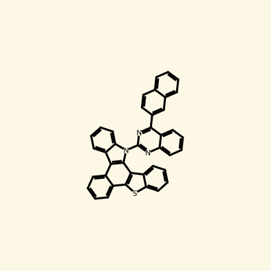 c1ccc2cc(-c3nc(-n4c5ccccc5c5c6ccccc6c6sc7ccccc7c6c54)nc4ccccc34)ccc2c1